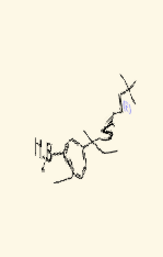 Bc1cc(C(C)(CC)SC/C=C/C(C)(C)C)ccc1C